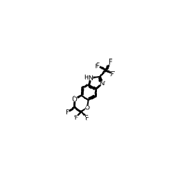 FC1Oc2cc3[nH]c(C(F)(F)F)nc3cc2OC1(F)F